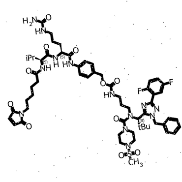 CC(C)[C@H](NC(=O)CCCCCN1C(=O)C=CC1=O)C(=O)N[C@@H](CCCNC(N)=O)C(=O)Nc1ccc(COC(=O)NCCCN(C(=O)N2CCN(S(C)(=O)=O)CC2)[C@@H](c2nc(-c3cc(F)ccc3F)nn2Cc2ccccc2)C(C)(C)C)cc1